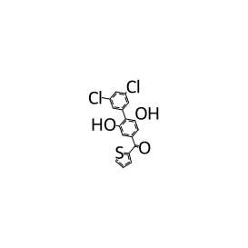 O=C(c1cc(O)c(-c2cc(Cl)cc(Cl)c2)c(O)c1)c1cccs1